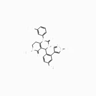 CN1CCC2=C(C1=O)C(c1ccc(C#N)cc1-c1cnn(C)c1)N(C)C(=O)N2c1cccc(C(F)(F)F)c1